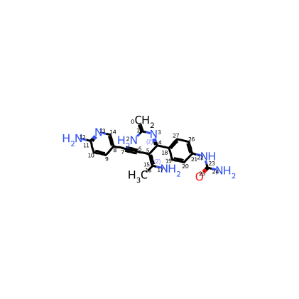 C=C(N)/N=C(\C(C#Cc1ccc(N)nc1)=C(\C)N)c1ccc(NC(N)=O)cc1